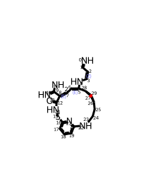 N=C/C=C\N/C1=C/C=C(\C(=N)N)C(=O)NSc2cccc(n2)NCCCC2CC1C2